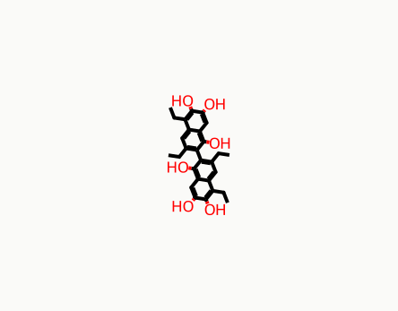 CCc1cc2c(CC)c(O)c(O)cc2c(O)c1-c1c(CC)cc2c(CC)c(O)c(O)cc2c1O